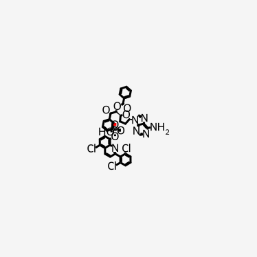 Nc1ncnc2c1ncn2[C@H]1C[C@H](OP(=O)(O)Oc2ccc(Cl)c3ccc(-c4c(Cl)cccc4Cl)nc23)[C@@H](C(OC(=O)c2ccccc2)C(=O)c2ccccc2)O1